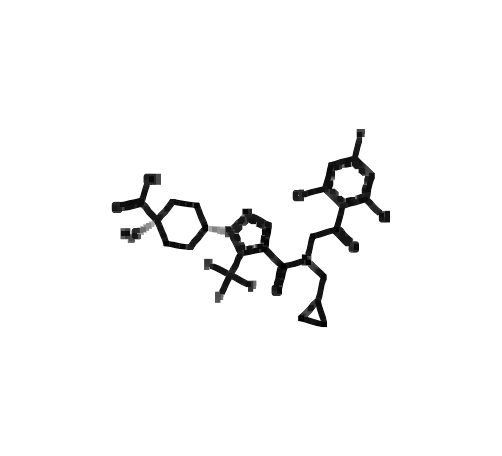 C[C@]1(C(=O)O)CC[C@H](n2ncc(C(=O)N(CC(=O)c3c(Cl)cc(F)cc3Cl)CC3CC3)c2C(F)(F)F)CC1